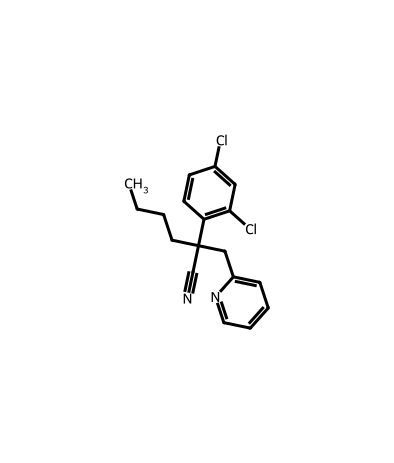 CCCCC(C#N)(Cc1ccccn1)c1ccc(Cl)cc1Cl